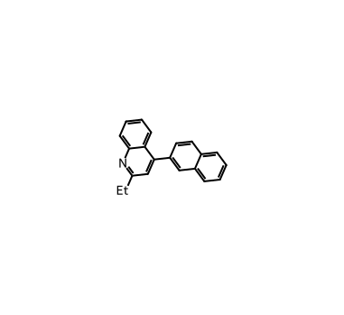 CCc1cc(-c2ccc3ccccc3c2)c2ccccc2n1